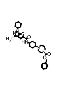 Cc1nn(C2CCCCC2)c2sc(C(=O)NC3CCC(N4CCCN(C(=O)OCc5ccccc5)CC4)CC3)cc12